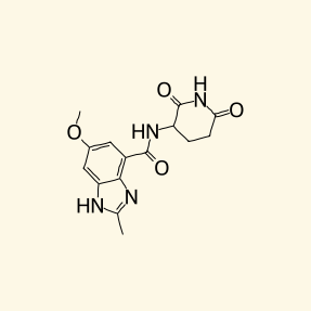 COc1cc(C(=O)NC2CCC(=O)NC2=O)c2nc(C)[nH]c2c1